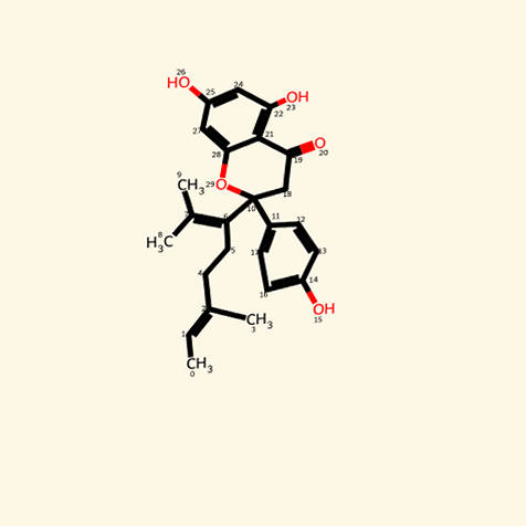 C/C=C(\C)CCC(=C(C)C)C1(c2ccc(O)cc2)CC(=O)c2c(O)cc(O)cc2O1